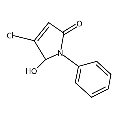 O=C1C=C(Cl)C(O)N1c1ccccc1